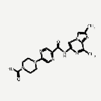 Cc1cn2cc(NC(=O)c3cnc(N4CCN(C(=O)O)CC4)cn3)nc(C)c2n1